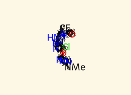 CNc1cn2ncc(Oc3cnc4nc(Nc5cc(C(F)(F)F)n([C@H]6CCOC6)n5)n(C)c4c3Cl)c2cn1